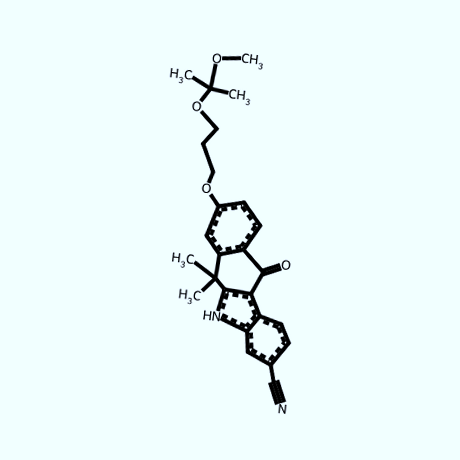 COC(C)(C)OCCCOc1ccc2c(c1)C(C)(C)c1[nH]c3cc(C#N)ccc3c1C2=O